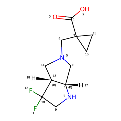 O=C(O)C1(CN2C[C@@H]3NCC(F)(F)[C@@H]3C2)CC1